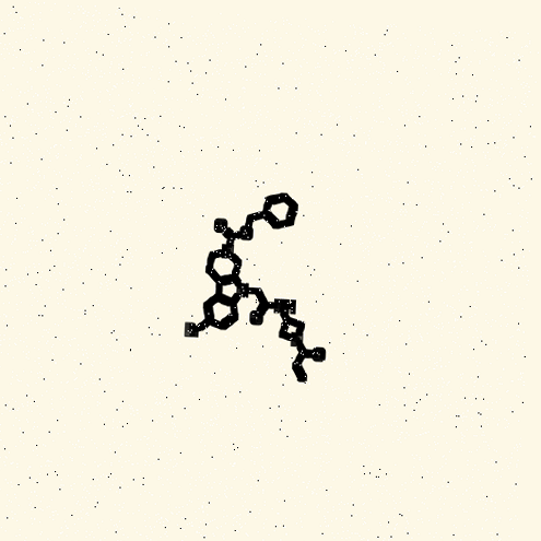 C=CC(=O)N1CC(NC(=O)Cn2c3c(c4cc(Br)ccc42)CCN(C(=O)OCc2ccccc2)C3)C1